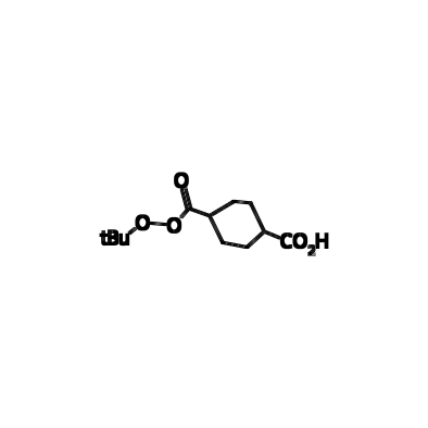 CC(C)(C)OOC(=O)C1CCC(C(=O)O)CC1